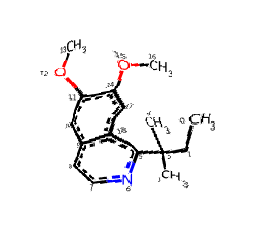 CCC(C)(C)c1nccc2cc(OC)c(OC)cc12